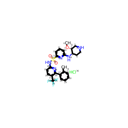 CO[C@@H]1CNCC[C@H]1Nc1cccc(S(=O)(=O)Nc2ccc(C(F)(F)F)c(-c3ccccc3C)n2)n1.Cl